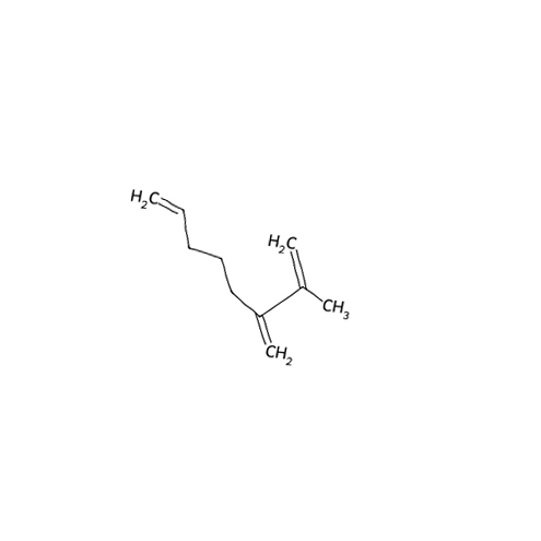 C=CCCCC(=C)C(=C)C